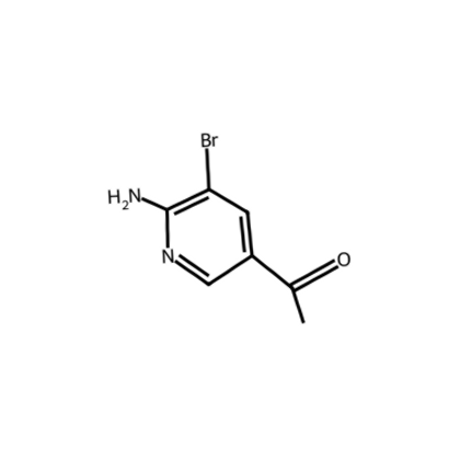 CC(=O)c1cnc(N)c(Br)c1